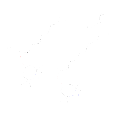 CC1(C)CC(OC(CCCCCCCC(=O)O)C(=O)O)CC(C)(C)N1.CC1(C)CC(OC(CCCCCCCC(=O)O)C(=O)O)CC(C)(C)N1.CCC[CH2][Sn][CH2]CCC